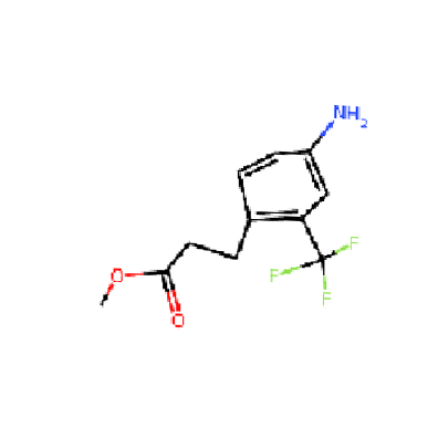 COC(=O)CCc1ccc(N)cc1C(F)(F)F